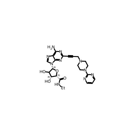 CCNC(=O)[C@H]1O[C@@H](n2cnc3c(N)nc(C#CCN4CCN(c5ncccn5)CC4)nc32)C(O)[C@H]1O